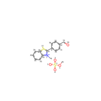 COS(=O)(=O)[O-].C[n+]1c(-c2ccc(C=O)cc2)sc2ccccc21